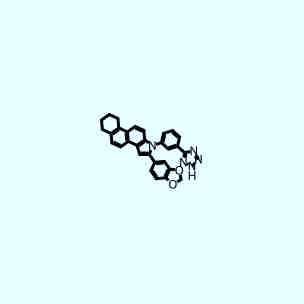 c1cc(-c2nn[nH]n2)cc(-n2c(-c3ccc4c(c3)OCO4)cc3c4ccc5c(c4ccc32)CCCC5)c1